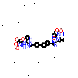 COC(=O)N[C@H](C(=O)N1CC2(CC2)C[C@H]1c1ncc(-c2ccc3cc(-c4ccc(-c5cnc([C@@H](NC(=O)[C@@H](NC(=O)OC)C(C)(C)OC)C6CCCC6)[nH]5)cc4)ccc3c2)[nH]1)C(C)C